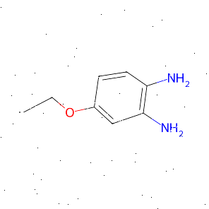 [CH2]COc1ccc(N)c(N)c1